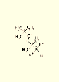 CC(C)(C)OCC(C)(C)C(F)(F)F